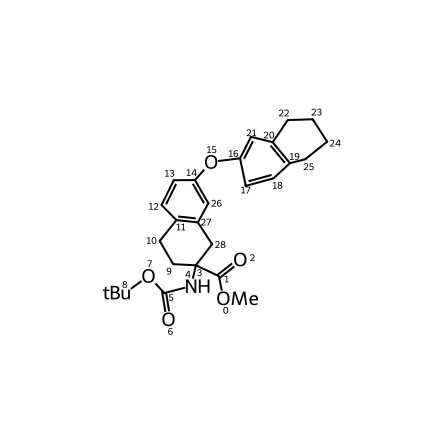 COC(=O)C1(NC(=O)OC(C)(C)C)CCc2ccc(Oc3ccc4c(c3)CCCC4)cc2C1